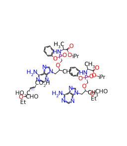 CC(C)OC(=O)C(C)NP(=O)(COC(C)Cn1cnc2c(N)ncnc21)Oc1ccccc1.CC(C)OC(=O)C(C)NP(=O)(COC(C)Cn1cnc2c(N)ncnc21)Oc1ccccc1.CCOC=O.CCOC=O.O=C(O)/C=C/C(=O)O